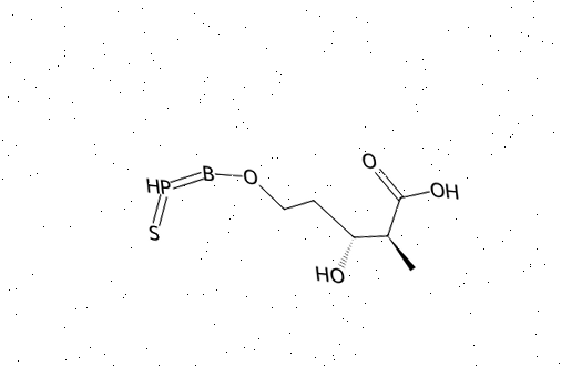 C[C@H](C(=O)O)[C@H](O)CCOB=[PH]=S